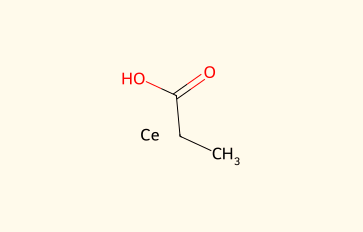 CCC(=O)O.[Ce]